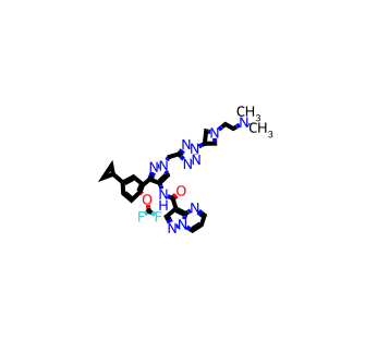 CN(C)CCN1CC(n2nnc(Cn3cc(NC(=O)c4cnn5cccnc45)c(-c4cc(C5CC5)ccc4OC(F)F)n3)n2)C1